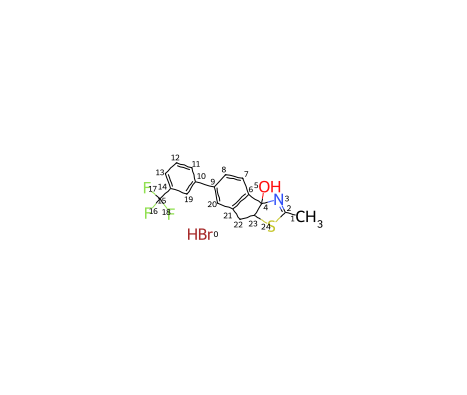 Br.CC1=NC2(O)c3ccc(-c4cccc(C(F)(F)F)c4)cc3CC2S1